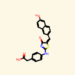 O=C(O)Cc1ccc(NC2=NC(=O)C(=Cc3ccc4cc(O)ccc4c3)S2)cc1